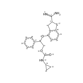 N=C(N)C1Cc2c(OC(COC(=O)NC3CC3)c3ccccc3)cccc2S1